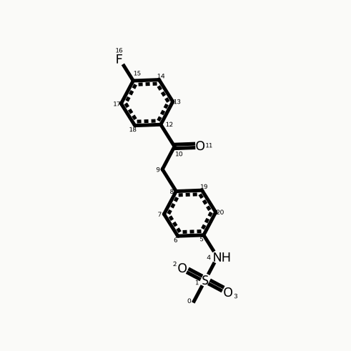 CS(=O)(=O)Nc1ccc(CC(=O)c2ccc(F)cc2)cc1